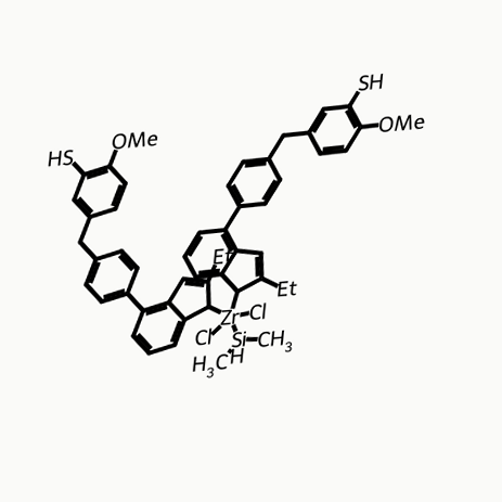 CCC1=Cc2c(-c3ccc(Cc4ccc(OC)c(S)c4)cc3)cccc2[CH]1[Zr]([Cl])([Cl])([CH]1C(CC)=Cc2c(-c3ccc(Cc4ccc(OC)c(S)c4)cc3)cccc21)[SiH](C)C